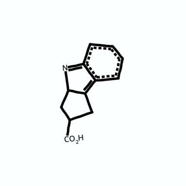 O=C(O)C1CC2=c3ccccc3=NC2C1